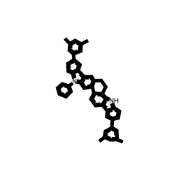 Cc1cc(C)cc(-c2ccc3[nH]c4c5c(ccc4c3c2)-c2cc3c(cc2CC5)c2cc(-c4cc(C)cc(C)c4)ccc2n3-c2ccccc2)c1